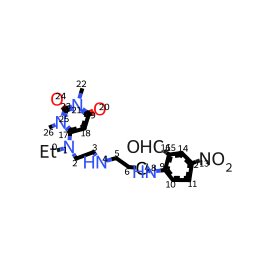 CCN(CCNCCCNc1ccc([N+](=O)[O-])cc1C=O)c1cc(=O)n(C)c(=O)n1C